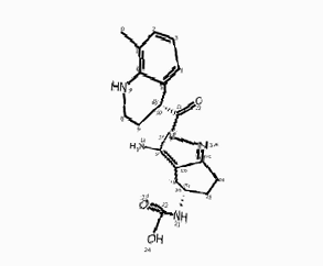 Cc1cccc2c1NCC[C@H]2C(=O)n1nc2c(c1N)C[C@@H](NC(=O)O)CC2